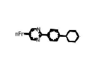 CCCc1cnc(-c2ccc(C3CC[CH]CC3)cc2)nc1